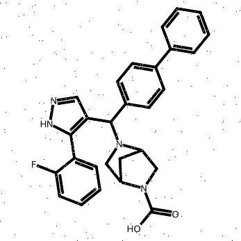 O=C(O)N1CC2CC1CN2C(c1ccc(-c2ccccc2)cc1)c1cn[nH]c1-c1ccccc1F